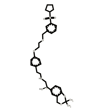 CC1(C)OCc2cc([C@@H](O)CNCCc3ccc(OCCOCc4cccc(S(=O)(=O)C5CCCC5)c4)cc3)ccc2O1